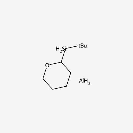 CC(C)(C)[SiH2]C1CCCCO1.[AlH3]